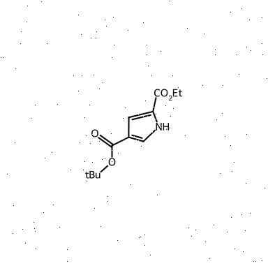 CCOC(=O)c1cc(C(=O)OC(C)(C)C)c[nH]1